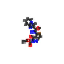 CC(C)OC(=O)NC(=O)c1ccsc1NC(=O)c1cn2ccccc2n1